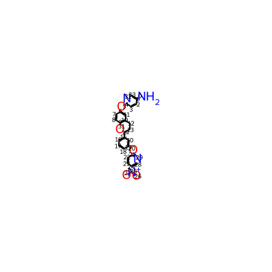 Nc1ccc(Oc2ccc3c(c2)CCC(c2cccc(Oc4ccc([N+](=O)[O-])cn4)c2)O3)nc1